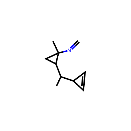 C=NC1(C)CC1C(C)C1C=C1